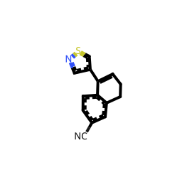 N#Cc1ccc2c(c1)CCC=C2c1cnsc1